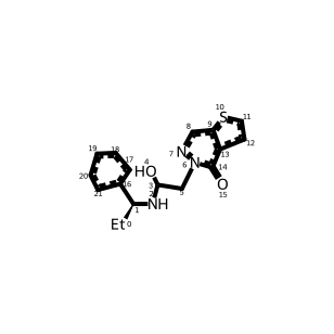 CC[C@H](NC(O)Cn1ncc2sccc2c1=O)c1ccccc1